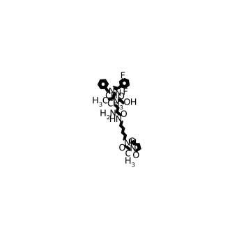 C[C@H](C(=O)NCCCCCCNC(=O)[C@@H](N)CCN(C(=O)CO)[C@@H](c1nc(-c2cc(F)ccc2F)cn1Cc1ccccc1)C(C)(C)C)N1C(=O)C=CC1=O